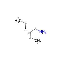 CCC[C@@H](CC)CN